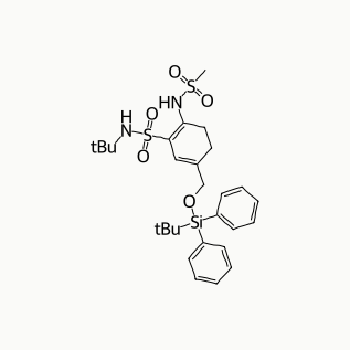 CC(C)(C)NS(=O)(=O)C1=C(NS(C)(=O)=O)CCC(CO[Si](c2ccccc2)(c2ccccc2)C(C)(C)C)=C1